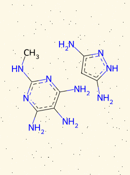 CNc1nc(N)c(N)c(N)n1.Nc1cc(N)[nH]n1